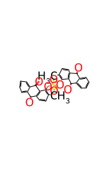 Cc1ccc2c(c1OS(=O)(=O)Oc1c(C)ccc3c1C(=O)c1ccccc1C3=O)C(=O)c1ccccc1C2=O